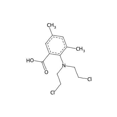 Cc1cc(C)c(N(CCCl)CCCl)c(C(=O)O)c1